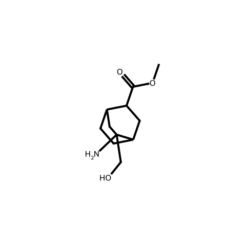 COC(=O)C1CC2CCC1CC2(N)CO